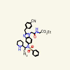 CCOC(=O)CNC(=O)Cn1c(Cc2ccc(C#N)cc2)nc2cc(N(C(C)C3CCCCN3)S(=O)(=O)c3ccccc3)ccc21